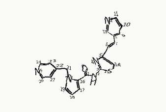 O=C(Nc1nc(C=Cc2cccnc2)cs1)c1cccn1Cc1ccncc1